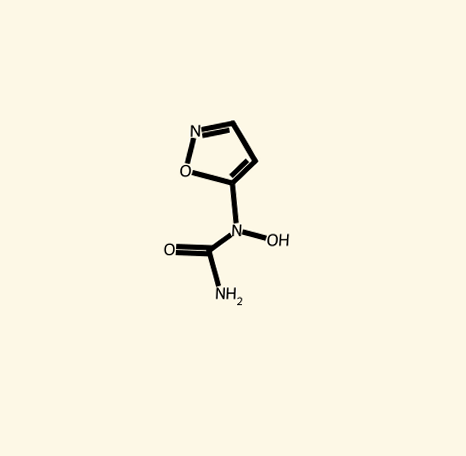 NC(=O)N(O)c1ccno1